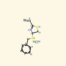 CNC1=NC(SCc2ccccc2)CS1.Cl